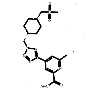 COC(=O)c1cc(-c2nnn(C[C@H]3CC[C@H](CS(C)(=O)=O)CC3)n2)cc(C)n1